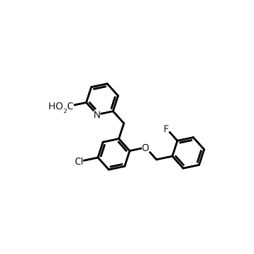 O=C(O)c1cccc(Cc2cc(Cl)ccc2OCc2ccccc2F)n1